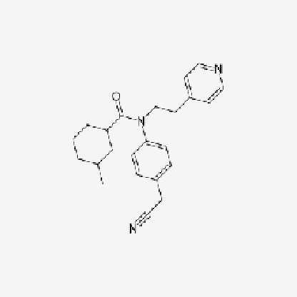 CC1CCCC(C(=O)N(CCc2ccncc2)c2ccc(CC#N)cc2)C1